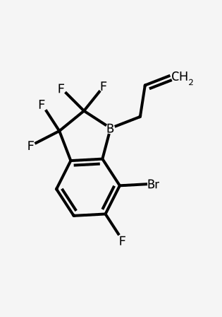 C=CCB1c2c(ccc(F)c2Br)C(F)(F)C1(F)F